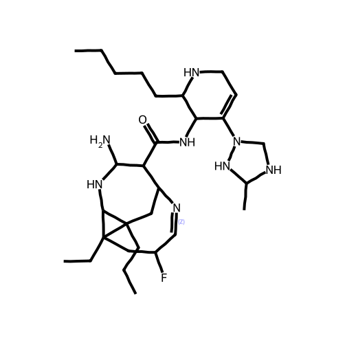 CCCCCC1NCC=C(N2CNC(C)N2)C1NC(=O)C1C2CC3(CCC)C(NC1N)C3(CC)CC(F)/C=N\2